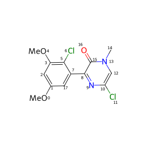 COc1cc(OC)c(Cl)c(-c2nc(Cl)cn(C)c2=O)c1